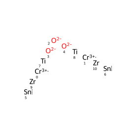 [Cr+3].[Cr+3].[O-2].[O-2].[O-2].[Sn].[Sn].[Ti].[Ti].[Zr].[Zr]